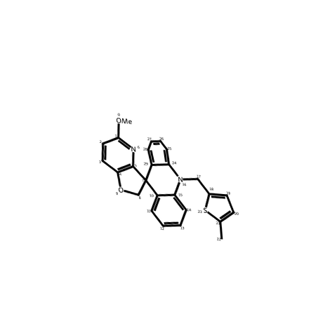 COc1ccc2c(n1)C1(CO2)c2ccccc2N(Cc2ccc(C)s2)c2ccccc21